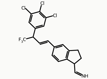 N=CC1CCc2cc(/C=C/C(c3cc(Cl)c(Cl)c(Cl)c3)C(F)(F)F)ccc21